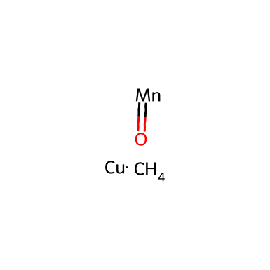 C.[Cu].[O]=[Mn]